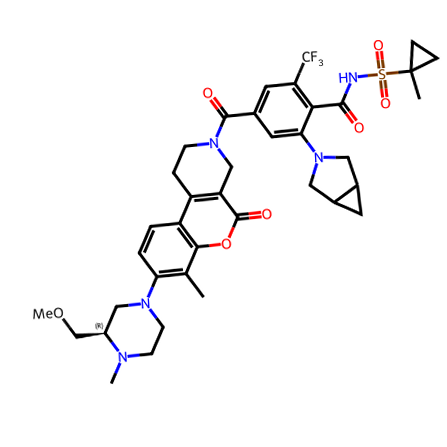 COC[C@H]1CN(c2ccc3c4c(c(=O)oc3c2C)CN(C(=O)c2cc(N3CC5CC5C3)c(C(=O)NS(=O)(=O)C3(C)CC3)c(C(F)(F)F)c2)CC4)CCN1C